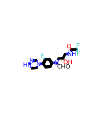 O=CN(C[C@@H](O)CNC(=O)C(F)F)c1ccc(N2C=NNCC2)c(F)c1